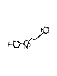 Fc1ccc(-c2cc(CCC#Cc3ccccn3)on2)cc1